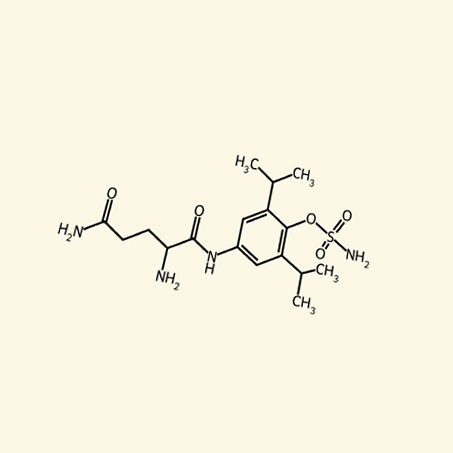 CC(C)c1cc(NC(=O)C(N)CCC(N)=O)cc(C(C)C)c1OS(N)(=O)=O